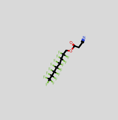 N#CCC(=O)OCC(F)(F)C(F)(F)C(F)(F)C(F)(F)C(F)(F)C(F)(F)C(F)(F)F